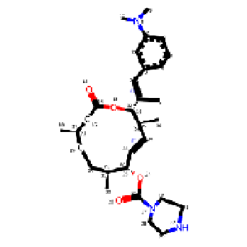 C/C(=C\c1cccc(N(C)C)c1)[C@H]1OC(=O)C[C@H](C)CC[C@H](C)[C@@H](OC(=O)N2CCNCC2)/C=C/[C@@H]1C